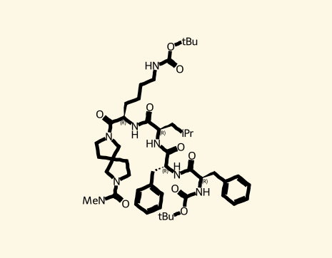 CNC(=O)N1CCC2(CCN(C(=O)[C@@H](CCCCNC(=O)OC(C)(C)C)NC(=O)[C@@H](CC(C)C)NC(=O)[C@@H](Cc3ccccc3)NC(=O)[C@@H](Cc3ccccc3)NC(=O)OC(C)(C)C)C2)C1